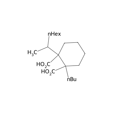 CCCCCCC(C)C1(C(=O)O)CCCCC1(CCCC)C(=O)O